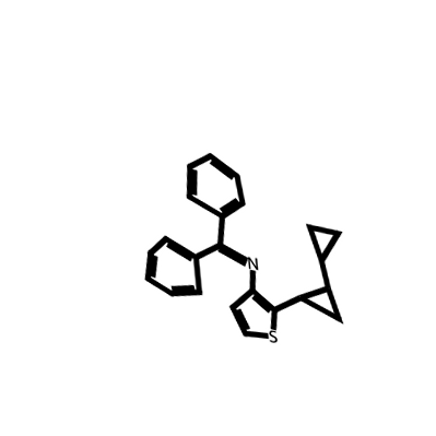 c1ccc(C(=Nc2ccsc2C2CC2C2CC2)c2ccccc2)cc1